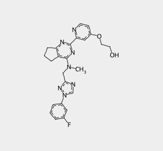 CN(Cc1ncn(-c2cccc(F)c2)n1)c1nc(-c2cc(OCCO)ccn2)nc2c1CCC2